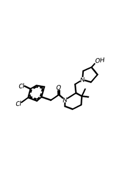 CC1(C)CCCN(C(=O)Cc2ccc(Cl)c(Cl)c2)C1CN1CCC(O)C1